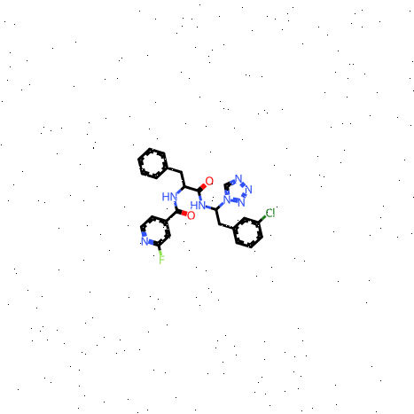 O=C(NC(Cc1ccccc1)C(=O)NC(Cc1cccc(Cl)c1)n1cnnn1)c1ccnc(F)c1